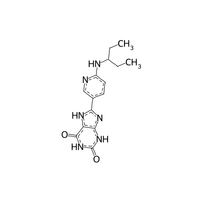 CCC(CC)Nc1ccc(-c2nc3[nH]c(=O)[nH]c(=O)c3[nH]2)cn1